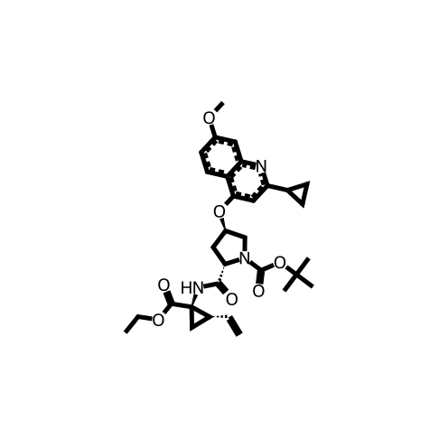 C=C[C@@H]1C[C@]1(NC(=O)[C@@H]1C[C@@H](Oc2cc(C3CC3)nc3cc(OC)ccc23)CN1C(=O)OC(C)(C)C)C(=O)OCC